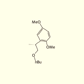 CCCCOC[C@H](C)c1cc(OC)ccc1OC